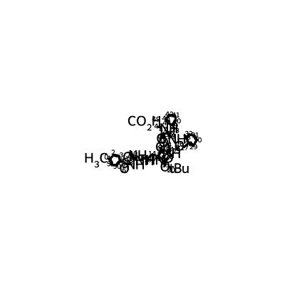 Cc1ccc(S(=O)(=O)NC(=N)NCCC[C@H](NC(=O)OC(C)(C)C)C(=O)N[C@@H](COCc2ccccc2)C(=O)N[C@@H](Cc2ccccc2)C(=O)NCC(=O)O)cc1